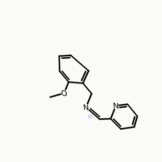 COc1ccccc1C/N=C\c1ccccn1